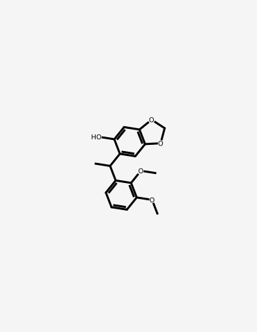 COc1cccc(C(C)c2cc3c(cc2O)OCO3)c1OC